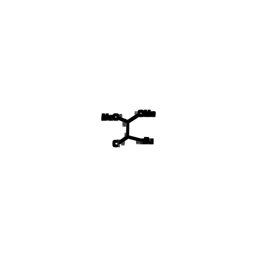 CCCCC(Cl)C(OC)OC